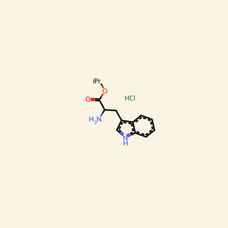 CC(C)OC(=O)C(N)Cc1c[nH]c2ccccc12.Cl